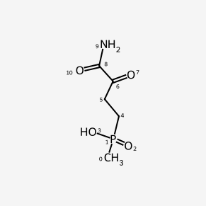 CP(=O)(O)CCC(=O)C(N)=O